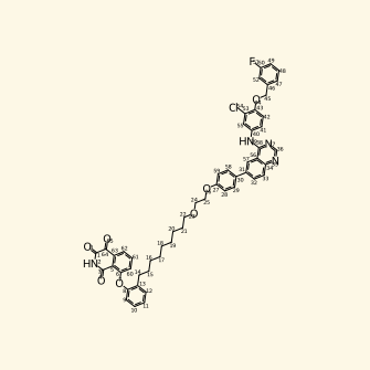 O=C1NC(=O)c2c(Oc3ccccc3CCCCCCCCCOCCOc3ccc(-c4ccc5ncnc(Nc6ccc(OCc7cccc(F)c7)c(Cl)c6)c5c4)cc3)cccc2C1=O